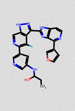 CCC(O)Nc1cncc(-c2ncc3[nH]nc(-c4nc5c(-c6ccoc6)nccc5[nH]4)c3c2F)c1